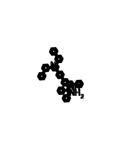 NC(/C(=C1\NC(c2ccccc2)=Cc2cc(-c3ccc(-c4cc(-c5cccc(-c6ccccc6)c5)nc(-c5cccc(-c6ccccc6)c5)c4)cc3)ccc21)c1ccccc1)c1ccccc1